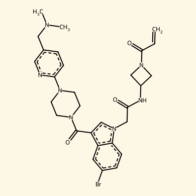 C=CC(=O)N1CC(NC(=O)Cn2cc(C(=O)N3CCN(c4ccc(CN(C)C)cn4)CC3)c3cc(Br)ccc32)C1